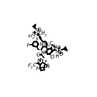 Cn1nc(NS(=O)(=O)C2CC2)c2c(Cl)ccc(-c3ccc(C#CC(C)(C)S(=O)(=O)C4CC4)nc3[C@H](Cc3cc(F)cc(F)c3)NC(=O)Cn3nc(C(F)(F)F)c4c3C(F)(F)[C@@H]3CC[C@H]43)c21